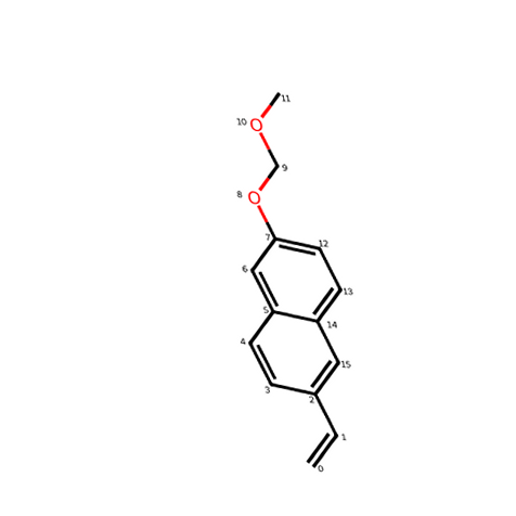 C=Cc1ccc2cc(OCOC)ccc2c1